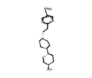 CCCCCCCc1cnc(CC[C@H]2CC[C@H]([C@H]3CC[C@H](CCC)CC3)CC2)nc1